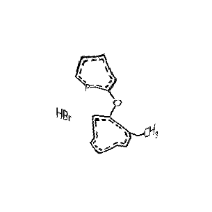 Br.Cc1ccccc1Oc1ccccp1